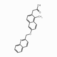 Cc1c(CC(=O)O)ccc2cc(OCc3ccc4ccccc4n3)ccc12